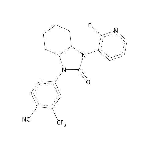 N#Cc1ccc(N2C(=O)N(c3cccnc3F)C3CCCCC32)cc1C(F)(F)F